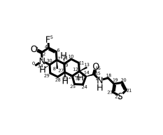 CN1C(=O)C(F)=C[C@]2(C)[C@H]3CC[C@]4(C)[C@@H](C(=O)NCc5ccsc5)CC[C@H]4[C@@H]3CC[C@@H]12